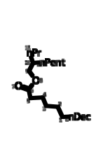 CCCCCCCCCCCCCCCC(=O)OCC(CCC)CCCCC